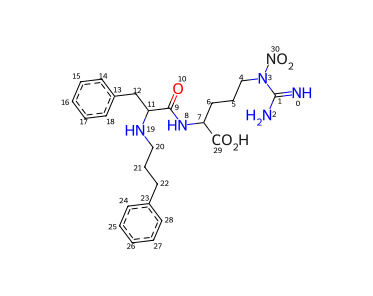 N=C(N)N(CCCC(NC(=O)C(Cc1ccccc1)NCCCc1ccccc1)C(=O)O)[N+](=O)[O-]